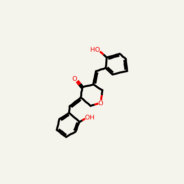 O=C1/C(=C/c2ccccc2O)COC/C1=C\c1ccccc1O